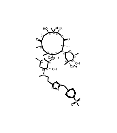 CC[C@H]1OC(=O)[C@H](C)C([C@H]2C[C@@](C)(OC)[C@@H](O)[C@H](C)O2)[C@H](C)[C@@H](O[C@@H]2O[C@H](C)C[C@H](N(C)CCc3cn(Cc4ccc(S(C)(=O)=O)cc4)nn3)[C@H]2O)[C@](C)(OC)C[C@@H](C)C(=O)[C@H](C)[C@@H](O)[C@]1(C)O